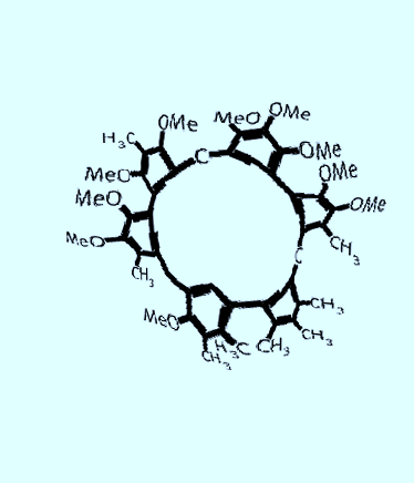 COc1c2cc(c(C)c1C)-c1cc(c(C)c(C)c1C)Cc1cc(c(OC)c(OC)c1C)-c1cc(c(OC)c(OC)c1OC)Cc1cc(c(OC)c(C)c1OC)-c1cc(c(C)c(OC)c1OC)C2